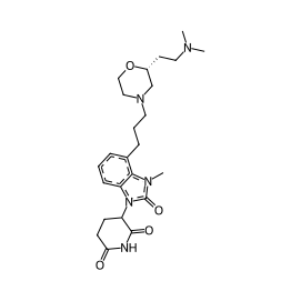 CN(C)CC[C@@H]1CN(CCCc2cccc3c2n(C)c(=O)n3C2CCC(=O)NC2=O)CCO1